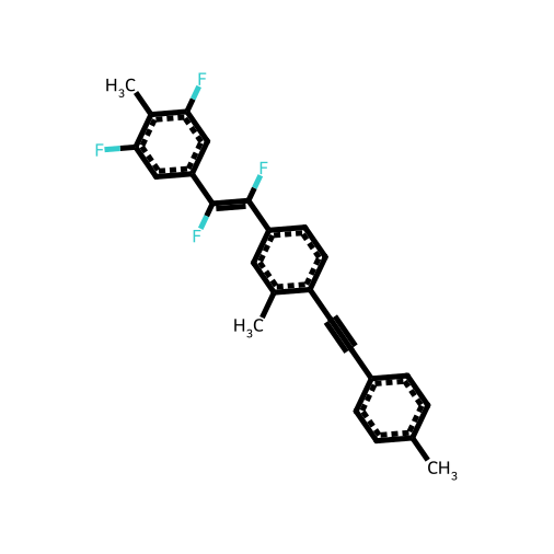 Cc1ccc(C#Cc2ccc(/C(F)=C(\F)c3cc(F)c(C)c(F)c3)cc2C)cc1